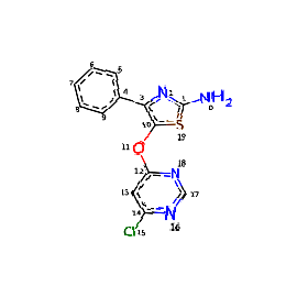 Nc1nc(-c2ccccc2)c(Oc2cc(Cl)ncn2)s1